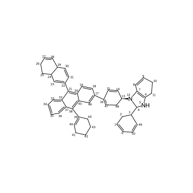 C1=CCC(C2NC3=C(C=CCC3)N2[C@@H]2C=CC(c3ccc4c(C5=CC6CCC=CC6C=C5)c5ccccc5c(C5=CCCCC5)c4c3)=CC2)C=C1